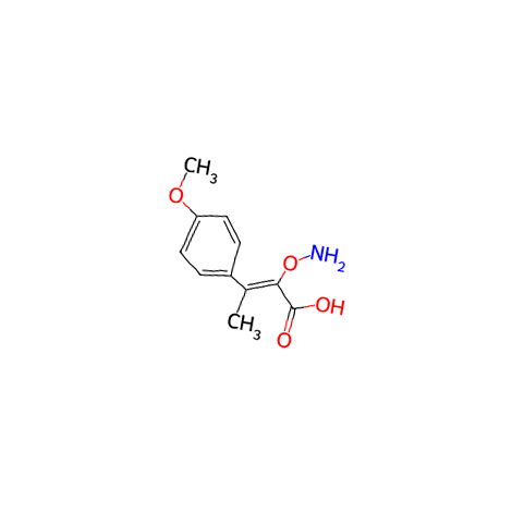 COc1ccc(C(C)=C(ON)C(=O)O)cc1